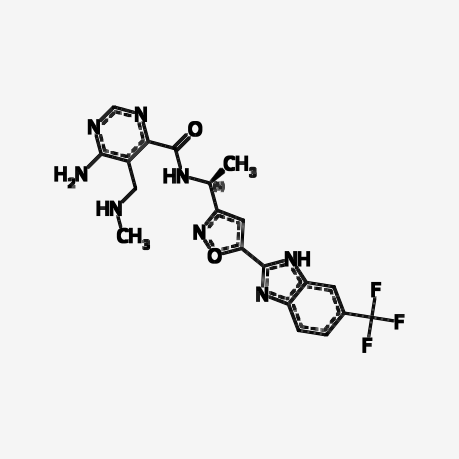 CNCc1c(N)ncnc1C(=O)N[C@@H](C)c1cc(-c2nc3ccc(C(F)(F)F)cc3[nH]2)on1